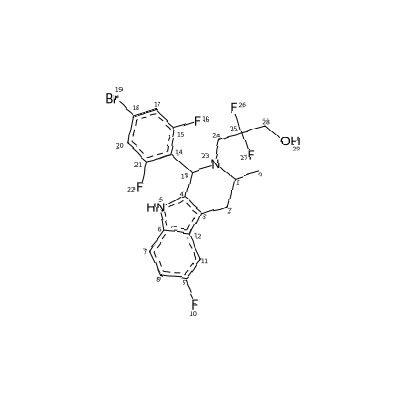 CC1Cc2c([nH]c3ccc(F)cc23)C(c2c(F)cc(Br)cc2F)N1CC(F)(F)CO